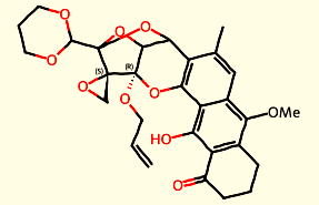 C=CCO[C@@]12Oc3c(c(C)cc4c(OC)c5c(c(O)c34)C(=O)CCC5)C3OC(C4OCCCO4)(OC31)[C@]21CO1